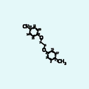 Cc1ccc(OCCOc2ccc(Cl)cc2)cc1